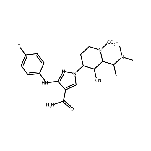 CC(C1C(C#N)C(n2cc(C(N)=O)c(Nc3ccc(F)cc3)n2)CCN1C(=O)O)N(C)C